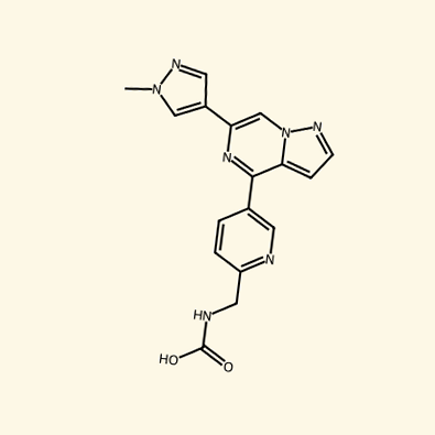 Cn1cc(-c2cn3nccc3c(-c3ccc(CNC(=O)O)nc3)n2)cn1